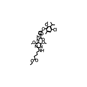 CCOC(=O)CCCNc1nc(OC)c(NC(=O)c2ccc(Oc3c(C)cc(Cl)c(C(C)C)c3OC)o2)c(OC)n1